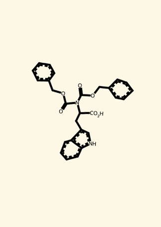 O=C(O)C(Cc1c[nH]c2ccccc12)N(C(=O)OCc1ccccc1)C(=O)OCc1ccccc1